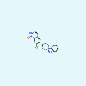 N[C@]1(c2ccccc2)CC[C@@H](c2cc3cc[nH]c(=O)c3cc2Cl)CC1